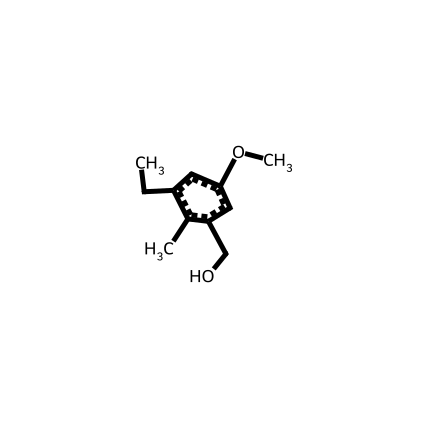 CCc1cc(OC)cc(CO)c1C